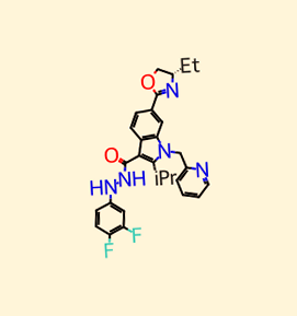 CC[C@H]1COC(c2ccc3c(C(=O)NNc4ccc(F)c(F)c4)c(C(C)C)n(Cc4ccccn4)c3c2)=N1